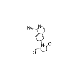 N#Cc1nccc2cc(N3C(=O)CC[C@@H]3C=O)ccc12